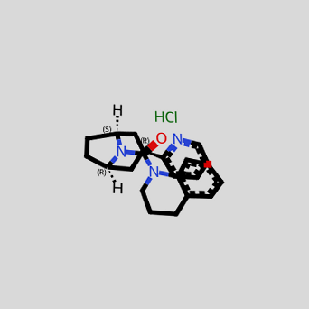 Cl.O=C(N1CCCc2ccccc21)N1[C@@H]2CC[C@H]1C[C@@H](c1ccccn1)C2